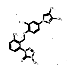 Cc1cc(-n2cc(C)c(C)n2)ccc1OCc1c(C)cccc1-n1nnn(C)c1=O